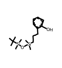 CC(C)(C)[Si](C)(C)O[Si](C)(C)CCCc1ccccc1O